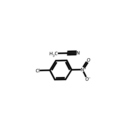 CC#N.O=[N+]([O-])c1ccc(Cl)cc1